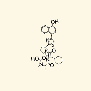 C[C@@H](C(=O)N[C@H](C(=O)N1CCC[C@H]1c1nc(-c2ccc(O)c3ccccc23)cs1)C1CCCCC1)N(C)C(=O)O